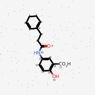 O=C(CCC1=CCCC=C1)Nc1ccc(O)c(C(=O)O)c1